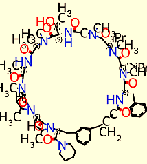 C=C1CCC(=O)N[C@@H](Cc2ccccc2)C(=O)N(C)[C@@H](CC(C)C)C(=O)N(C)[C@@H](C(C)C)C(=O)N(C)CC(=O)N[C@@H]([C@@H](C)O)C(=O)N(C)[C@@H](C)C(=O)N[C@@H](C)C(=O)N(C)[C@H]2CC(C)N(C2=O)[C@H]2CC(C)N(C2=O)[C@H](C(=O)N2CCCCC2)Cc2cccc1c2